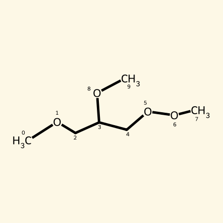 COCC(COOC)OC